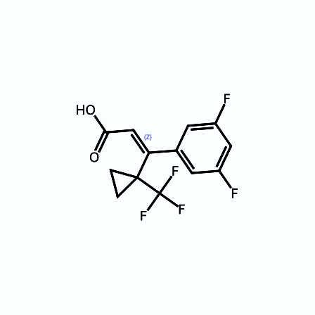 O=C(O)/C=C(/c1cc(F)cc(F)c1)C1(C(F)(F)F)CC1